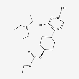 CCN(CC)CC.CCOC(=O)O[C@H]1CC[C@H](c2ccc(O)cc2O)CC1